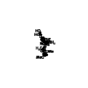 [C-]#[N+]c1c(N)nc(SCc2nc(-c3cc(OC)ccc3OC)oc2C)c(C#N)c1-c1ccc(OC[C@H](O)CO)cc1